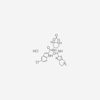 CN1CCc2nc(C(=O)N[C@H]3C[C@H]4OC(=O)O[C@H]4C[C@H]3NC(=O)c3cc4cc(Cl)ccc4[nH]3)sc2C1.Cl